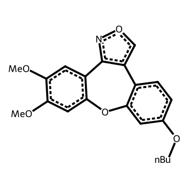 CCCCOc1ccc2c(c1)Oc1cc(OC)c(OC)cc1-c1nocc1-2